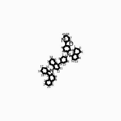 c1ccc2c(N(c3ccc(-c4ccc(-n5c6ccccc6c6c7ccccc7ccc65)c5ccccc45)cc3)c3ccc4c(c3)oc3cccnc34)cccc2c1